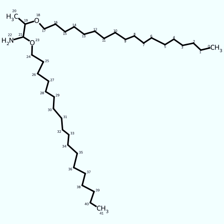 CCCCCCCCCCCCCCCCCCOC(C)C(N)OCCCCCCCCCCCCCCCCCC